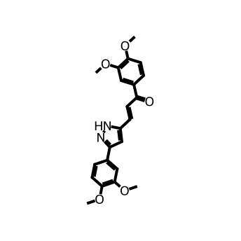 COc1ccc(C(=O)C=Cc2cc(-c3ccc(OC)c(OC)c3)n[nH]2)cc1OC